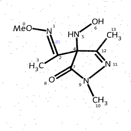 CO/N=C(\C)C1(NO)C(=O)N(C)N=C1C